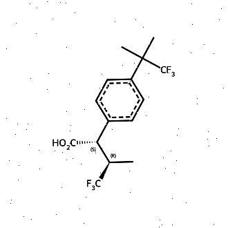 C[C@H]([C@H](C(=O)O)c1ccc(C(C)(C)C(F)(F)F)cc1)C(F)(F)F